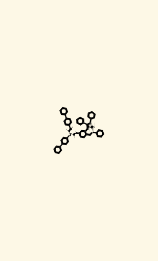 c1ccc(-c2ccc(-c3nc(-c4ccc(-c5ccccc5)cc4)nc(-c4ccc5cc(-c6ccccc6)n6nc(-c7ccccc7)c(-c7ccccc7)c6c5c4)n3)cc2)cc1